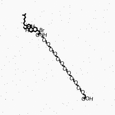 CC(C)CCC[C@@H](C)[C@H]1CC[C@H]2[C@@H]3CC=C4CC(C(Br)C(=O)NCCOCCOCCOCCOCCOCCOCCOCCOCCOCCOCCOCCOCCC(=O)O)CC[C@]4(C)[C@H]3CC[C@]12C